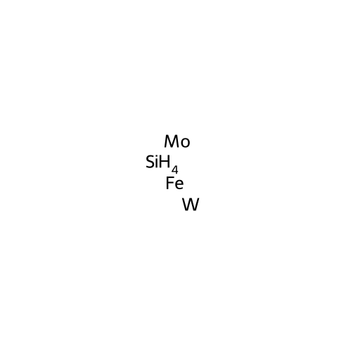 [Fe].[Mo].[SiH4].[W]